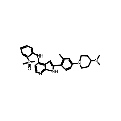 Cc1cc(N2CCC(N(C)C)CC2)ccc1-c1cc2c(Nc3ccccc3P(C)(C)=O)ccnc2[nH]1